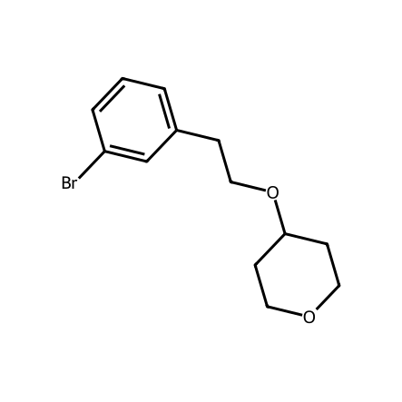 Brc1cccc(CCOC2CCOCC2)c1